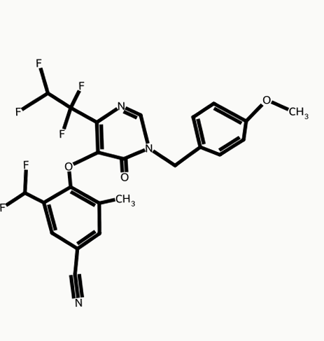 COc1ccc(Cn2cnc(C(F)(F)C(F)F)c(Oc3c(C)cc(C#N)cc3C(F)F)c2=O)cc1